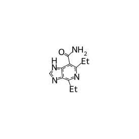 CCc1nc(CC)c2nc[nH]c2c1C(N)=O